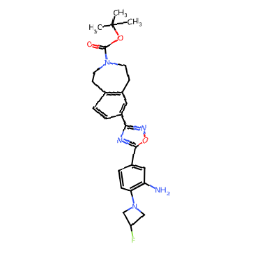 CC(C)(C)OC(=O)N1CCc2ccc(-c3noc(-c4ccc(N5CC(F)C5)c(N)c4)n3)cc2CC1